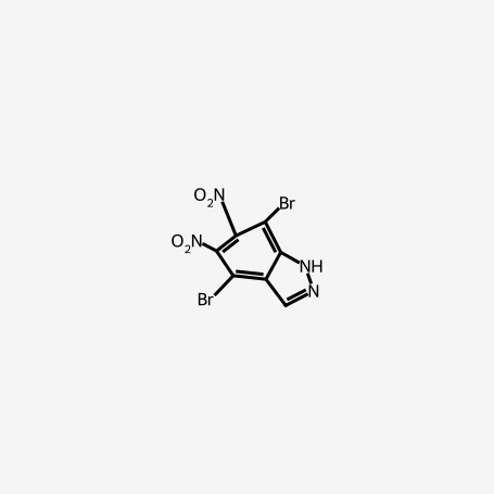 O=[N+]([O-])c1c([N+](=O)[O-])c(Br)c2[nH]ncc2c1Br